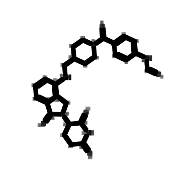 O=CNc1ccc(C(=O)N2CCC(CNc3cccc4c3CN(C3CCC(=O)NC3=O)C4=O)CC2)cc1